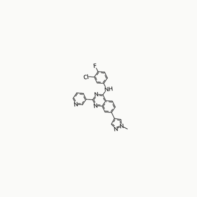 Cn1cc(-c2ccc3c(Nc4ccc(F)c(Cl)c4)nc(-c4cccnc4)nc3c2)cn1